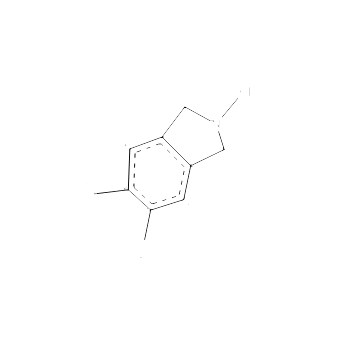 CN1Cc2cc(Cl)c(Cl)cc2C1